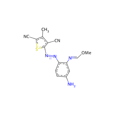 COC=Nc1cc(N)ccc1/N=N/c1sc(C#N)c(C)c1C#N